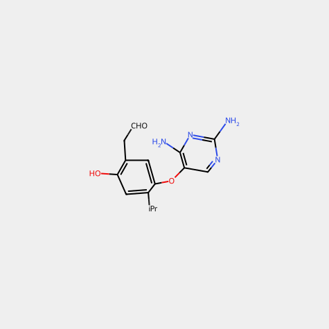 CC(C)c1cc(O)c(CC=O)cc1Oc1cnc(N)nc1N